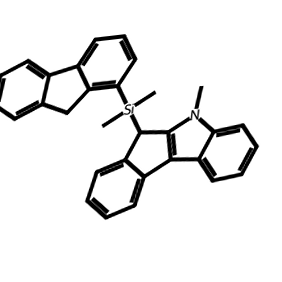 Cn1c2c(c3ccccc31)-c1ccccc1C2[Si](C)(C)c1cccc2c1Cc1ccccc1-2